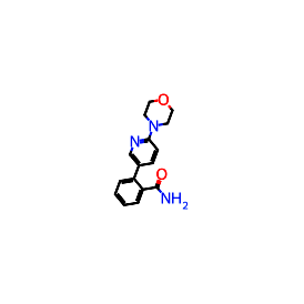 NC(=O)c1ccccc1-c1ccc(N2CCOCC2)nc1